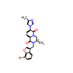 Cc1cn(-c2ccc3n(c2=O)C[C@@H](C)N(Cc2coc4c(Br)cccc24)C3=O)cn1